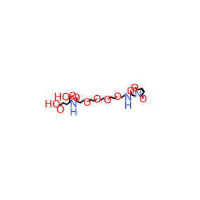 O=C(O)CCC(NC(=O)CCOCCOCCOCCOCCNC(=O)CN1C(=O)C=CC1=O)C(=O)O